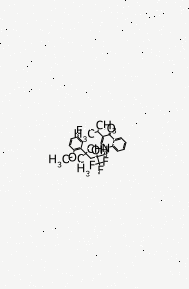 COc1ccc(F)cc1C(C)(C)CC(O)(Cn1cc(C(C)C)c(=O)c2ccccc21)C(F)(F)F